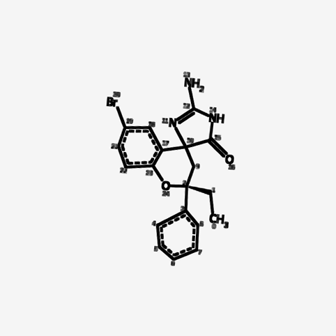 CC[C@]1(c2ccccc2)CC2(N=C(N)NC2=O)c2cc(Br)ccc2O1